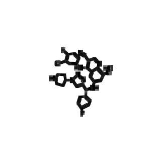 Cl.N#Cc1cnc2c(Cl)cc(N[C@@H](c3ccc(F)cc3)c3cn(C4CCNCC4)nn3)cc2c1Nc1ccc(F)c(Cl)c1